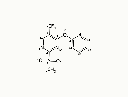 CS(=O)(=O)c1ncc(C(F)(F)F)c(Oc2ccccc2)n1